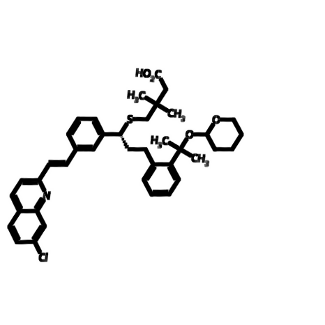 CC(C)(CS[C@H](CCc1ccccc1C(C)(C)OC1CCCCO1)c1cccc(C=Cc2ccc3ccc(Cl)cc3n2)c1)CC(=O)O